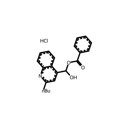 CCCCc1cc(C(O)OC(=O)c2ccccc2)c2ccccc2n1.Cl